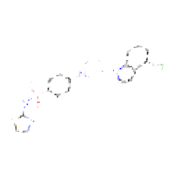 O=S(=O)(Nc1nccs1)c1ccc(N2CC[C@H](n3ccc4c(Cl)cccc43)C2)cc1